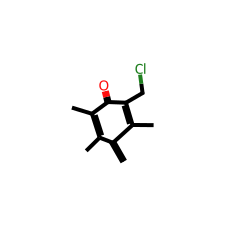 C=C1C(C)=C(C)C(=O)C(CCl)=C1C